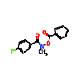 CN(OC(=O)c1ccccc1)C(=O)c1ccc(F)cc1